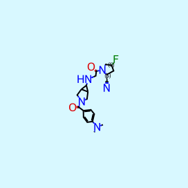 CN(C)c1ccc(C(=O)N2CC3C(C2)C3NCC(=O)N2C[C@@H](F)C[C@H]2C#N)cc1